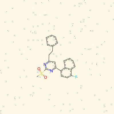 CS(=O)(=O)c1nc(CCc2ccccc2)cc(-c2ccc(F)c3ccccc23)n1